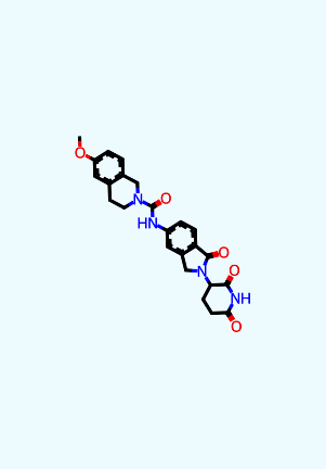 COc1ccc2c(c1)CCN(C(=O)Nc1ccc3c(c1)CN(C1CCC(=O)NC1=O)C3=O)C2